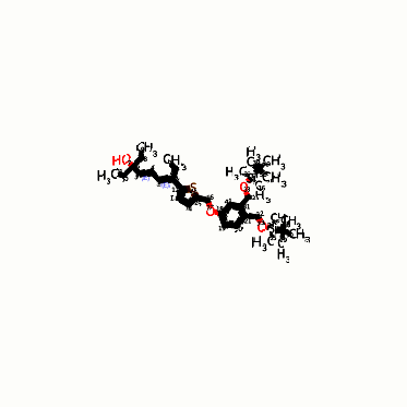 CC/C(=C\C=C\C(O)(CC)CC)c1ccc(COc2ccc(CO[Si](C)(C)C(C)(C)C)c(CO[Si](C)(C)C(C)(C)C)c2)s1